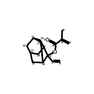 C=CC1(OC(=O)C(=C)C)C2CC3CC(C2)CC1C3